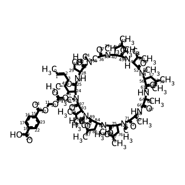 C/C=C/C[C@@H](C)C(OC(=O)OCOC(=O)c1ccc(C(=O)O)cc1)C1C(=O)NC(CC)C(=O)N(C)CC(=O)N(C)[C@@H](CC(C)C)C(=O)NC(C(C)C)C(=O)N(C)C(CC(C)C)C(=O)NC(C)C(=O)NC(C)C(=O)N(C)C(CC(C)C)C(=O)N(C)C(CC(C)C)C(=O)N(C)C(C(C)C)C(=O)N1C